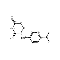 CC(C)c1ccc(N[C@H]2CCC(=O)NC2=O)cn1